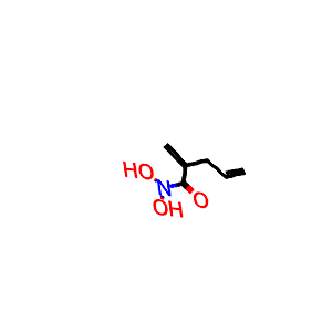 C=CCC(=C)C(=O)N(O)O